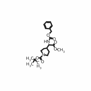 COC(=O)[C@@H](NC(=O)OCc1ccccc1)C1CCN(C(=O)OC(C)(C)C)CC1